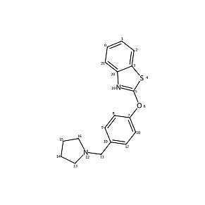 c1ccc2sc(Oc3ccc(CN4CCCC4)cc3)nc2c1